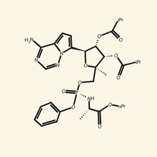 CCCOC(=O)[C@H](C)N[P@](=O)(OC[C@@]1(C)O[C@@H](c2ccc3c(N)ncnn23)[C@H](OC(=O)C(C)C)[C@@H]1OC(=O)C(C)C)Oc1ccccc1